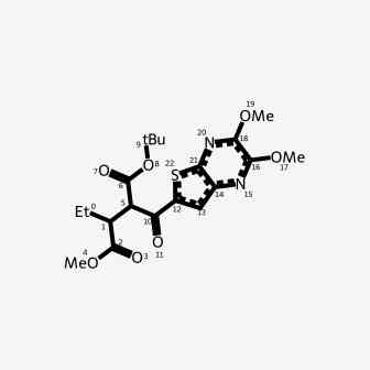 CCC(C(=O)OC)C(C(=O)OC(C)(C)C)C(=O)c1cc2nc(OC)c(OC)nc2s1